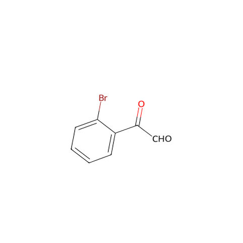 O=CC(=O)c1ccccc1Br